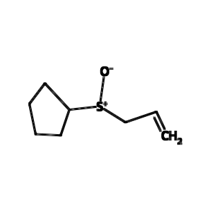 C=CC[S+]([O-])C1CCCC1